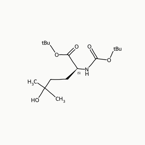 CC(C)(O)CC[C@H](NC(=O)OC(C)(C)C)C(=O)OC(C)(C)C